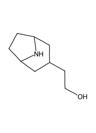 OCCC1CC2CCC(C1)N2